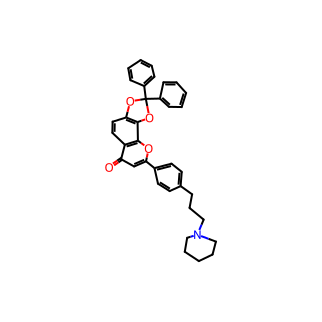 O=c1cc(-c2ccc(CCCN3CCCCC3)cc2)oc2c3c(ccc12)OC(c1ccccc1)(c1ccccc1)O3